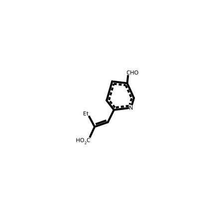 CC/C(=C\c1ccc(C=O)cn1)C(=O)O